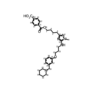 Cn1nc(CCCCOC(=O)c2ccc(C(=O)O)cc2)nc1NCCCOc1cccc(CN2CCCCC2)c1